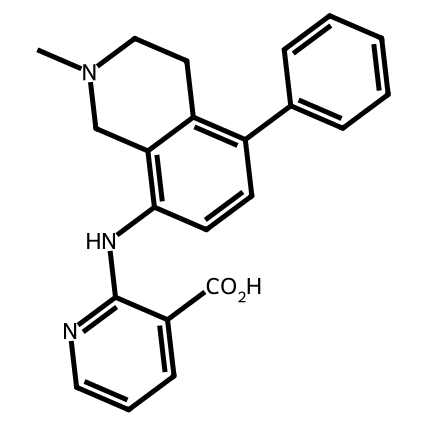 CN1CCc2c(-c3ccccc3)ccc(Nc3ncccc3C(=O)O)c2C1